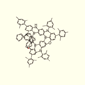 Cc1cc(C)c(-c2cc3c4c(c2)N(c2ccccc2)c2c(sc5ccccc25)B4c2cc4c(cc2N3)N(c2c(C)cc(C)cc2C)c2cc(-c3c(C)cc(C)cc3C)cc3c2B4c2cc4c(cc2O3)N(c2c(C)cc(C)cc2C)c2cc(-c3c(C)cc(C)cc3C)cc3c2B4c2sc4ccccc4c2O3)c(C)c1